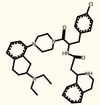 CCN(CC)C1CCc2cccc(N3CCN(C(=O)C(Cc4ccc(Cl)cc4)NC(=O)CC4NCCc5ccccc54)CC3)c2C1